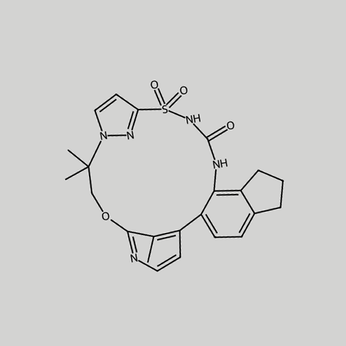 Cc1c2ccnc1OCC(C)(C)n1ccc(n1)S(=O)(=O)NC(=O)Nc1c-2ccc2c1CCC2